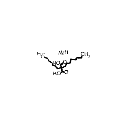 CCCCCCCCC(CCCCCCCC)(C(=O)O)C(=O)O.[NaH]